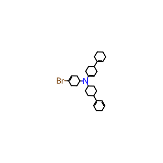 BrC1=CCC(N(C2=CCC(C3=CCCCC3)CC2)C2CCC(C3=CCCC=C3)CC2)CC1